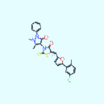 Cc1ccc(Cl)cc1-c1ccc(/C=C2\SC(=S)N(c3c(C)n(C)n(-c4ccccc4)c3=O)C2=O)o1